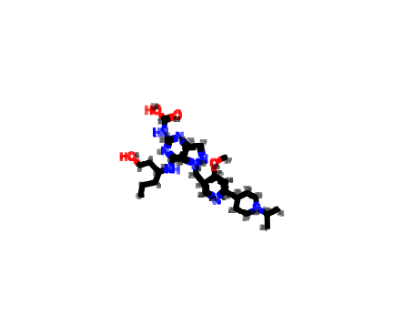 CCCC(CCO)Nc1nc(NC(=O)O)nc2cnn(Cc3cnc(C4CCN(C(C)C)CC4)cc3OC)c12